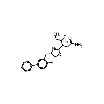 CCC(C)C(CC(N)=O)C1=N[C@@H](Cc2cc(-c3ccccc3)ccc2F)CO1